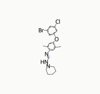 Cc1cc(Oc2cc(Cl)cc(Br)c2)c(C)cc1/N=C/NN1CCCCC1